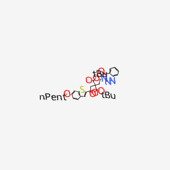 CCCCCOc1ccc2cc(C(=O)CC(CCn3nnc4ccccc4c3=O)(C(=O)OC(C)(C)C)C(=O)OC(C)(C)C)sc2c1